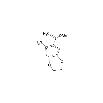 C=C(OC)c1cc2c(cc1N)OCCO2